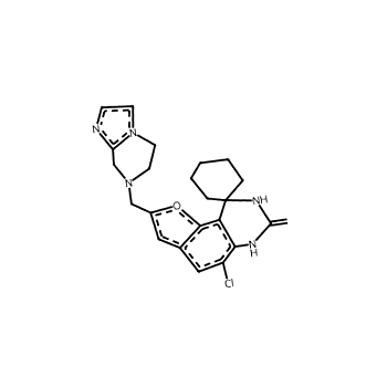 C=C1Nc2c(Cl)cc3cc(CN4CCn5ccnc5C4)oc3c2C2(CCCCC2)N1